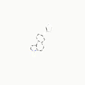 C1=C(c2ccc3c(ccc4[nH]ccc43)c2)CCC1